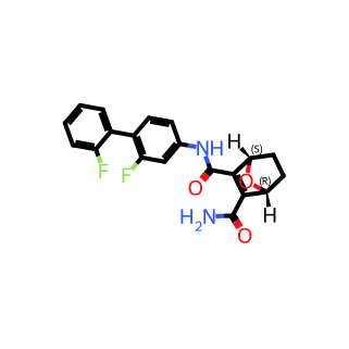 NC(=O)C1=C(C(=O)Nc2ccc(-c3ccccc3F)c(F)c2)[C@@H]2CC[C@H]1O2